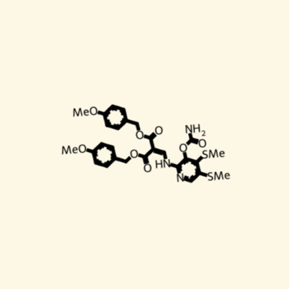 COc1ccc(COC(=O)C(=CNc2ncc(SC)c(SC)c2OC(N)=O)C(=O)OCc2ccc(OC)cc2)cc1